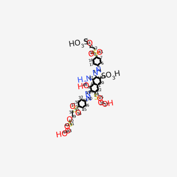 Nc1c(/N=N/c2ccc(S(=O)(=O)CCOS(=O)(=O)O)cc2)c(S(=O)(=O)O)cc2cc(SOOO)c(/N=N/c3ccc(S(=O)(=O)CCOSOOO)cc3)c(O)c12